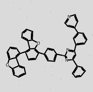 c1ccc(-c2cc(-c3cccc(-c4ccncc4)c3)nc(-c3ccc(-c4ccc(-c5cccc6oc7ccccc7c56)c5c4oc4ccccc45)cc3)n2)cc1